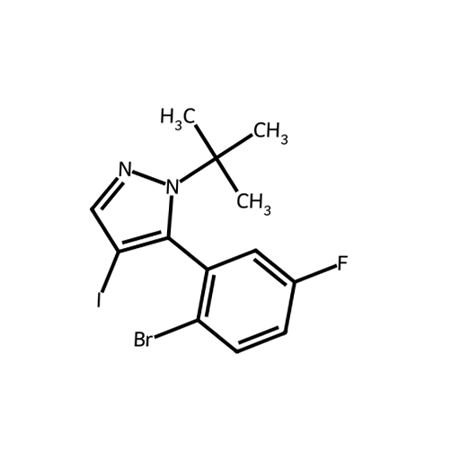 CC(C)(C)n1ncc(I)c1-c1cc(F)ccc1Br